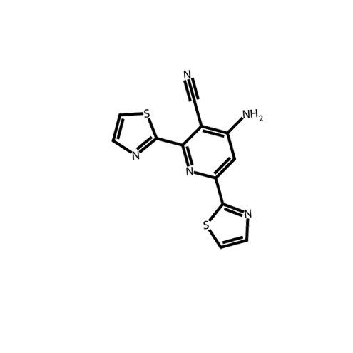 N#Cc1c(N)cc(-c2nccs2)nc1-c1nccs1